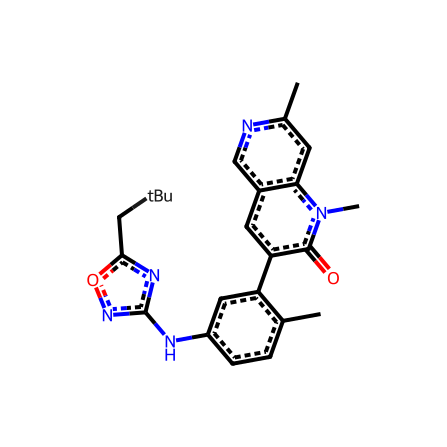 Cc1cc2c(cn1)cc(-c1cc(Nc3noc(CC(C)(C)C)n3)ccc1C)c(=O)n2C